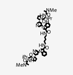 CN[C@@H](C)C(=O)N[C@@H](C(C)C)C(O)N1CCC[C@H]1c1cncc(-n2cc(C(=O)NCCCCCNC(=O)c3cn(-c4cncc([C@@H]5CCCN5C(=O)[C@@H](NC(=O)[C@H](C)NC)C(C)C)c4)c4ccccc34)c3ccccc32)c1